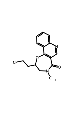 CN1CC(CCCl)Oc2c(cnc3ccccc23)C1=O